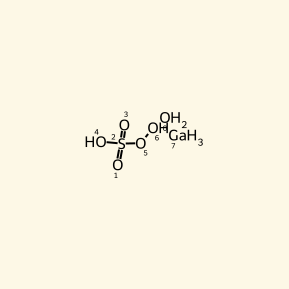 O.O=S(=O)(O)OO.[GaH3]